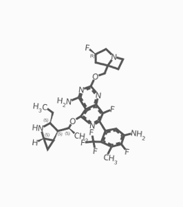 CC[C@@H]1N[C@H]2CC2[C@@H]1[C@H](C)Oc1nc(-c2cc(N)c(F)c(C)c2C(F)(F)F)c(F)c2nc(OCC34CCN3C[C@H](F)C4)nc(N)c12